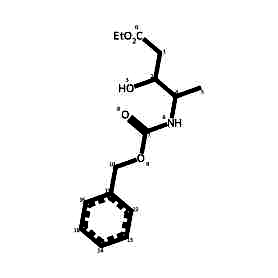 CCOC(=O)CC(O)C(C)NC(=O)OCc1ccccc1